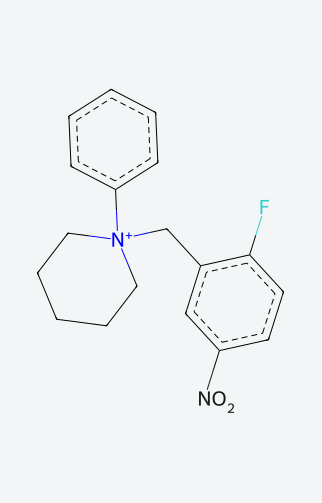 O=[N+]([O-])c1ccc(F)c(C[N+]2(c3ccccc3)CCCCC2)c1